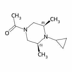 CC(=O)N1C[C@@H](C)N(C2CC2)[C@@H](C)C1